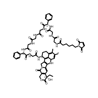 CC[C@@]1(O)C(=O)OCc2c1cc1n(c2=O)CC2=C1NC1C=C(F)C(C)=C3CC[C@H](NC(=O)CNC(=O)[C@@H](NC(=O)CNC(=O)CNC(=O)CNC(=O)[C@@H](NC(=O)CNC(=O)CNC(=O)CCCCCN4C(=O)C=CC4=O)c4ccccc4)c4ccccc4)C2=C31